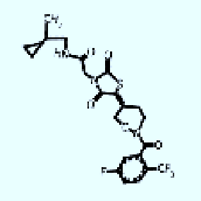 CC(CNC(=O)CN1C(=O)SC(=C2CCN(C(=O)c3cc(F)ccc3C(F)(F)F)CC2)C1=O)C1CC1